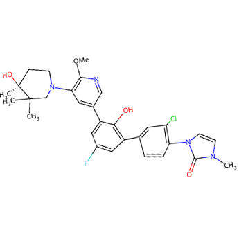 COc1ncc(-c2cc(F)cc(-c3ccc(-n4ccn(C)c4=O)c(Cl)c3)c2O)cc1N1CC[C@](C)(O)C(C)(C)C1